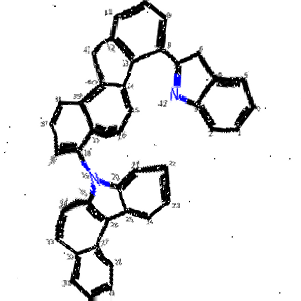 c1ccc2c(c1)CC(c1cccc3c1-c1ccc4c(-n5c6ccccc6c6c7ccccc7ccc65)cccc4c1C3)=N2